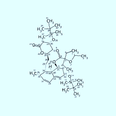 CCOC(CC)(CC)C(=O)O[C@H]1C[C@H](O[Si](C)(C)C(C)(C)C)C=C2C=C[C@H](C)[C@H](CC[C@@H]3C[C@@H](O[Si](C)(C)C(C)(C)C)CC(=O)O3)[C@H]21